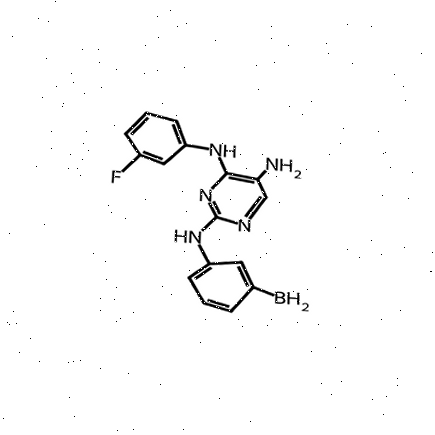 Bc1cccc(Nc2ncc(N)c(Nc3cccc(F)c3)n2)c1